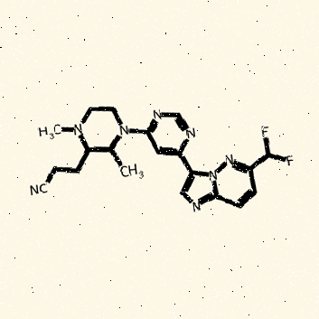 CC1C(CCC#N)N(C)CCN1c1cc(-c2cnc3ccc(C(F)F)nn23)ncn1